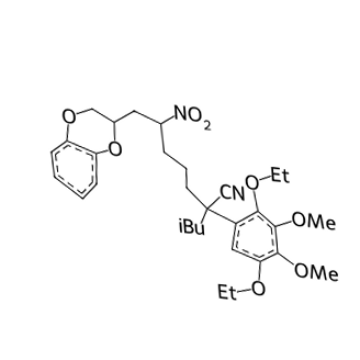 CCOc1cc(C(C#N)(CCCC(CC2COc3ccccc3O2)[N+](=O)[O-])C(C)CC)c(OCC)c(OC)c1OC